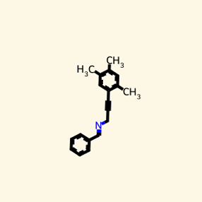 Cc1cc(C)c(C#CCN=Cc2ccccc2)cc1C